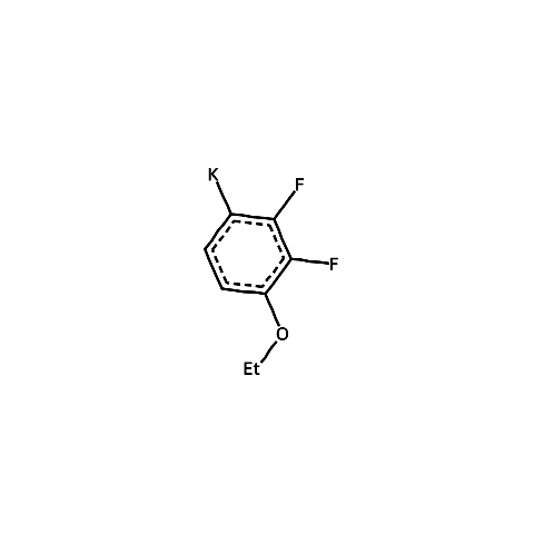 CCOc1cc[c]([K])c(F)c1F